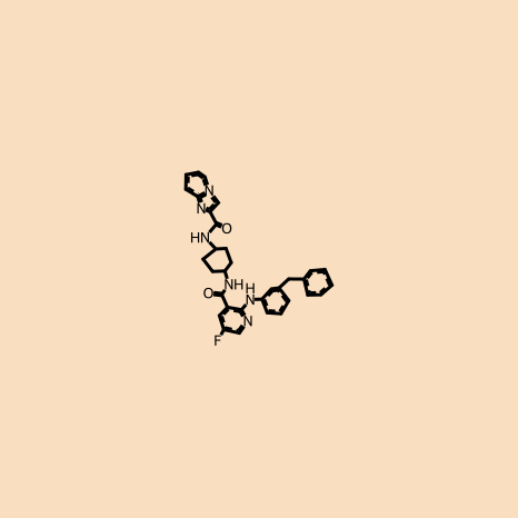 O=C(NC1CCC(NC(=O)c2cc(F)cnc2Nc2cccc(Cc3ccccc3)c2)CC1)c1cn2ccccc2n1